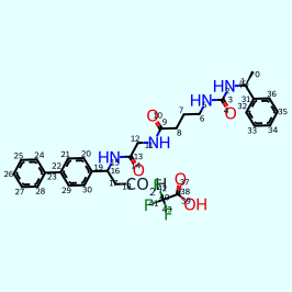 C[C@H](NC(=O)NCCCC(=O)NCC(=O)NC(CC(=O)O)c1ccc(-c2ccccc2)cc1)c1ccccc1.O=C(O)C(F)(F)F